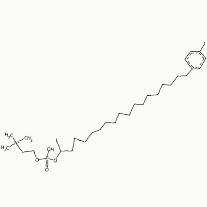 C[N+](C)(C)CCOP(=O)(O)OC(I)CCCCCCCCCCCCCCCCCc1ccc(I)cc1